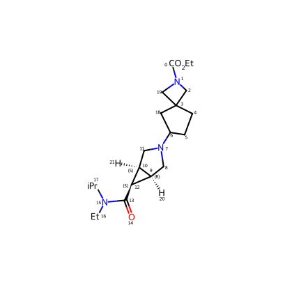 CCOC(=O)N1CC2(CCC(N3C[C@@H]4[C@H](C3)[C@@H]4C(=O)N(CC)C(C)C)C2)C1